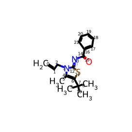 C=CCn1c(C)c(C(C)(C)C)s/c1=N\C(=O)c1ccccc1